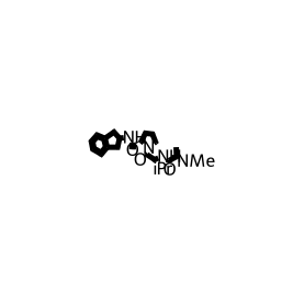 CN[C@@H](C)C(=O)N[C@H](C(=O)N1CCC[C@H]1C(=O)NC1Cc2ccccc2C1)C(C)C